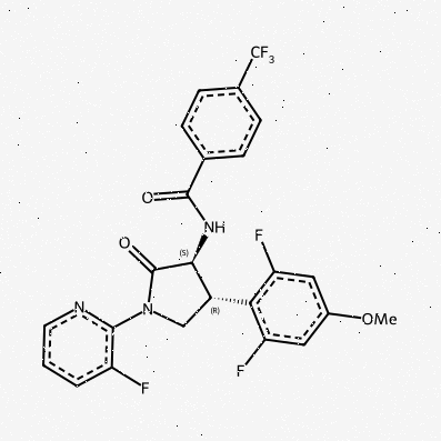 COc1cc(F)c([C@@H]2CN(c3ncccc3F)C(=O)[C@H]2NC(=O)c2ccc(C(F)(F)F)cc2)c(F)c1